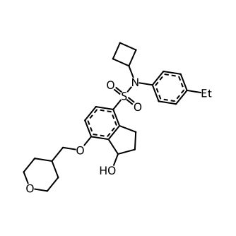 CCc1ccc(N(C2CCC2)S(=O)(=O)c2ccc(OCC3CCOCC3)c3c2CCC3O)cc1